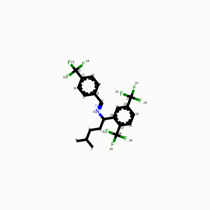 CC(C)CCC(/N=C/c1ccc(C(F)(F)F)cc1)c1cc(C(F)(F)F)ccc1C(F)(F)F